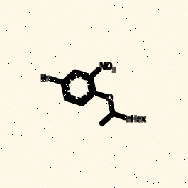 CCCCCCC(C)Oc1ccc(Br)cc1[N+](=O)[O-]